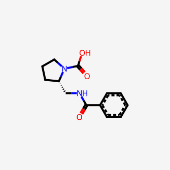 O=C(NC[C@@H]1CCCN1C(=O)O)c1ccccc1